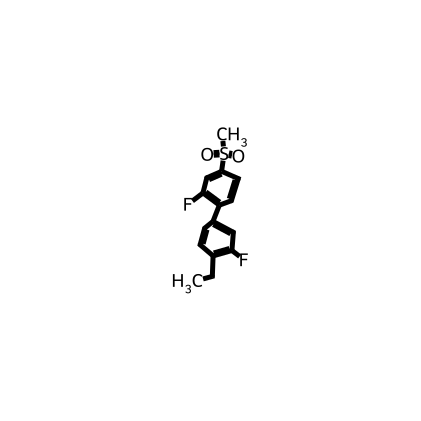 CCc1ccc(-c2ccc(S(C)(=O)=O)cc2F)cc1F